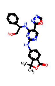 CC1(C)OC(=O)c2ccc(Nc3ncc(-c4nnco4)c(NC(CO)c4ccccc4)n3)cc21